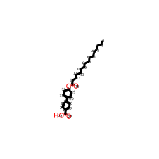 CCCCCCCCCCCCCCCC(=O)Oc1ccc(-c2ccc(C(=O)O)cc2)cc1